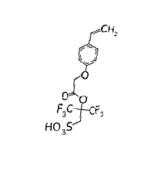 C=Cc1ccc(OCC(=O)OC(CS(=O)(=O)O)(C(F)(F)F)C(F)(F)F)cc1